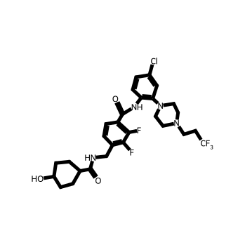 O=C(Nc1ccc(Cl)cc1N1CCN(CCC(F)(F)F)CC1)c1ccc(CNC(=O)C2CCC(O)CC2)c(F)c1F